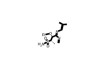 C=N/C(=N\C=C(C)C)[C@@H](OCC)[C@H](C)S(N)(=O)=O